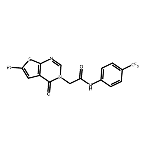 CCc1cc2c(=O)n(CC(=O)Nc3ccc(C(F)(F)F)cc3)cnc2s1